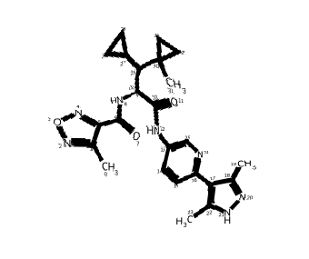 Cc1nonc1C(=O)N[C@H](C(=O)Nc1ccc(-c2c(C)n[nH]c2C)nc1)C(C1CC1)C1(C)CC1